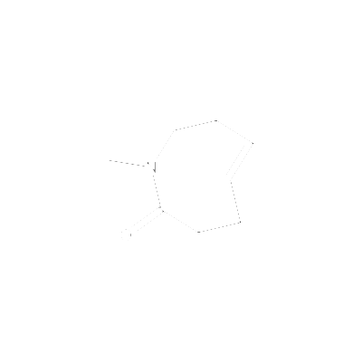 CN1CC/C=C/CCC1=O